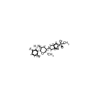 C[C@@H]1O[C@H](c2cc(F)ccc2F)[C@@H](N)C[C@H]1N1Cc2cn(S(C)(=O)=O)nc2C1